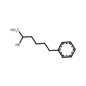 O=C(O)C(S)CCCCc1ccccc1